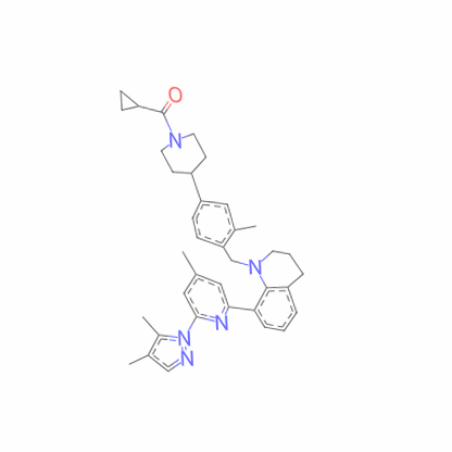 Cc1cc(-c2cccc3c2N(Cc2ccc(C4CCN(C(=O)C5CC5)CC4)cc2C)CCC3)nc(-n2ncc(C)c2C)c1